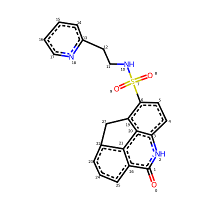 O=c1[nH]c2ccc(S(=O)(=O)NCCc3ccccn3)c3c2c2c(cccc12)C3